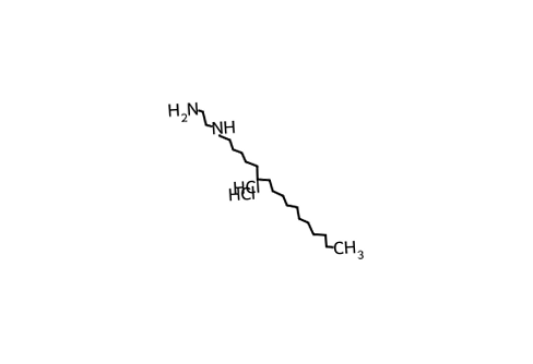 CCCCCCCCCCCCCCCCCCNCCN.Cl.Cl